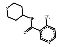 O=C(NC1CCSCC1)c1cnccc1C(F)(F)F